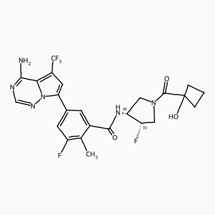 Cc1c(F)cc(-c2cc(C(F)(F)F)c3c(N)ncnn23)cc1C(=O)N[C@@H]1CN(C(=O)C2(O)CCC2)C[C@@H]1F